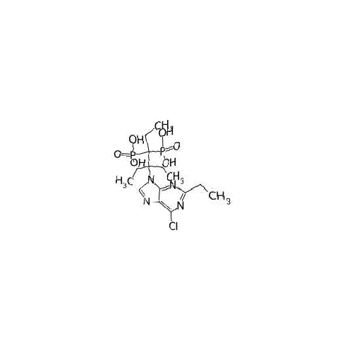 CCc1nc(Cl)c2ncn(C(CC)(CC)C(CC)(P(=O)(O)O)P(=O)(O)O)c2n1